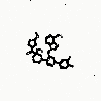 COC1CCC(C(=O)C2(N)CCCN(c3cnc(-c4ccc(F)c(F)c4)cc3Cn3cnc4c(N)ncnc43)C2)C1